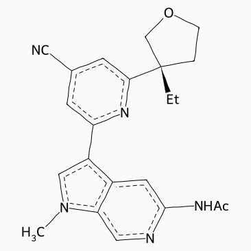 CC[C@]1(c2cc(C#N)cc(-c3cn(C)c4cnc(NC(C)=O)cc34)n2)CCOC1